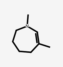 CC1=CN(C)CCCC1